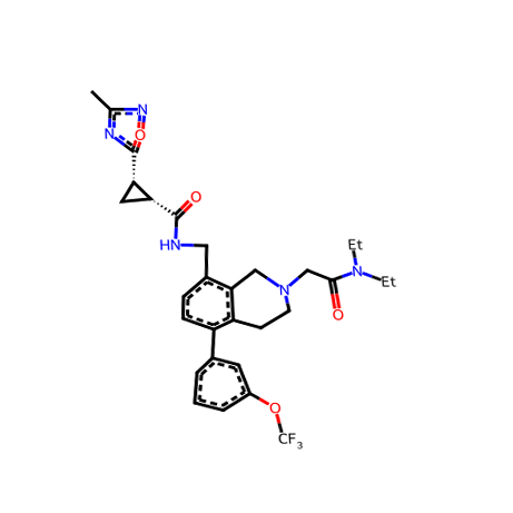 CCN(CC)C(=O)CN1CCc2c(-c3cccc(OC(F)(F)F)c3)ccc(CNC(=O)[C@@H]3C[C@@H]3c3nc(C)no3)c2C1